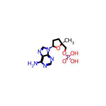 C[C@@]1(COP(=O)(O)O)CC[C@H](n2cnc3c(N)ncnc32)O1